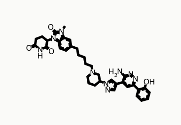 Cn1c(=O)n(C2CCC(=O)NC2=O)c2ccc(CCCCCN3CCCC(n4cc(-c5cc(-c6ccccc6O)nnc5N)cn4)C3)cc21